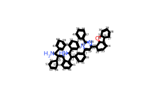 NC(/C(=C1\NC(c2ccccc2)C(c2cccc(-c3cc(C4C=CC=C5C6C=CC=CC6OC54)nc(-c4ccccc4)n3)c2)c2ccccc21)C1C=CC=CC1)c1ccccc1